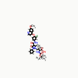 COc1ccc2c(Oc3ccc(NC(=O)c4c(C)n(C[C@H](C)C(NC(=O)OC(C)(C)C)C(=O)O)n(-c5ccccc5)c4=O)cc3F)ccnc2c1